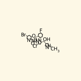 CCn1cc(C(O)c2cc(Cl)nn2-c2ccc(F)cc2COc2cc(Br)cnc2[N+](=O)[O-])cn1